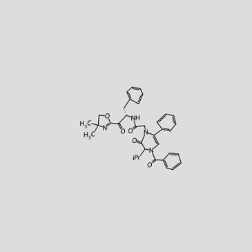 CC(C)C1C(=O)N(CC(=O)N[C@@H](Cc2ccccc2)C(=O)C2=NC(C)(C)CO2)C(c2ccccc2)=CN1C(=O)c1ccccc1